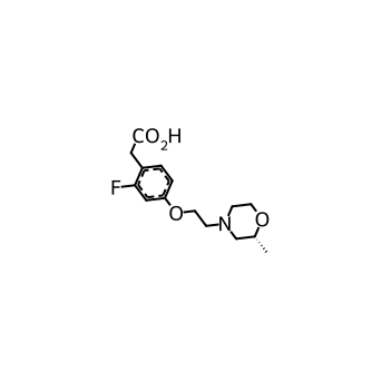 C[C@@H]1CN(CCOc2ccc(CC(=O)O)c(F)c2)CCO1